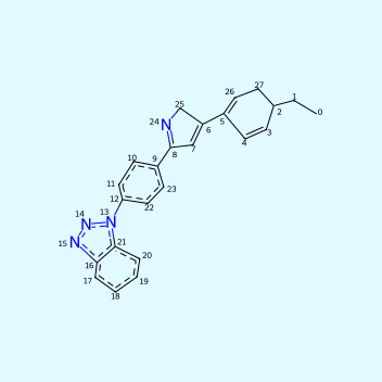 CCC1C=CC(C2=CC(c3ccc(-n4nnc5ccccc54)cc3)=NC2)=CC1